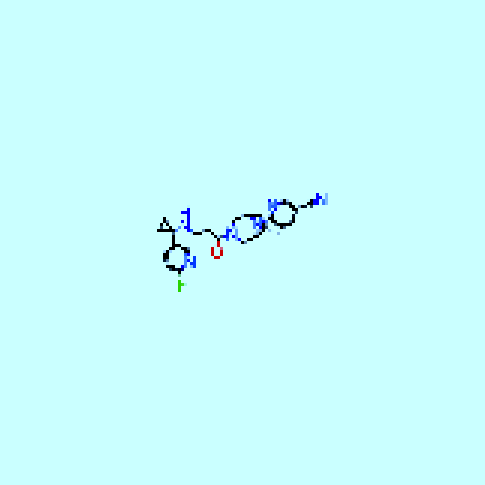 C[C@H]1CC2CN(C(=O)CCNC3(c4ccc(F)nc4)CC3)CC1N2c1ccc(C#N)cn1